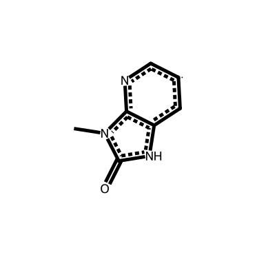 Cn1c(=O)[nH]c2c[c]cnc21